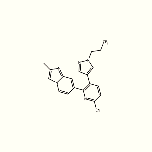 Cc1cn2ccc(-c3nc(C#N)ccc3-c3cnn(CCC(F)(F)F)c3)cc2n1